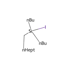 CCCCCCCC[Si](I)(CCCC)CCCC